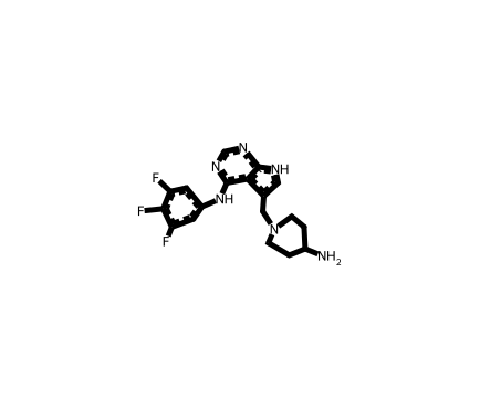 NC1CCN(Cc2c[nH]c3ncnc(Nc4cc(F)c(F)c(F)c4)c23)CC1